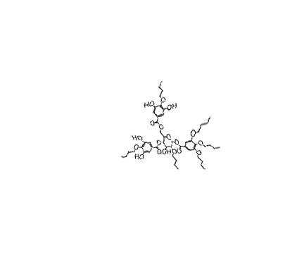 CCCCOc1cc(C(=O)O[C@@H]2OC(COC(=O)c3cc(O)c(OCCCC)c(O)c3)[C@@H](OC(=O)c3cc(O)c(OCCCC)c(O)c3)C(O)[C@@H]2OCCCC)cc(OCCCC)c1OCCCC